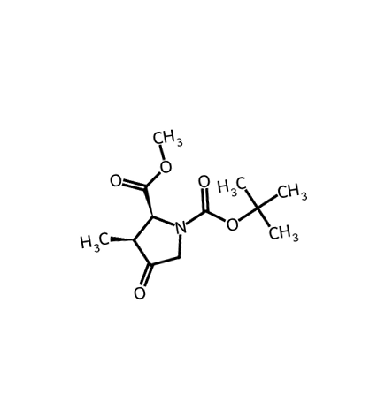 COC(=O)[C@@H]1[C@H](C)C(=O)CN1C(=O)OC(C)(C)C